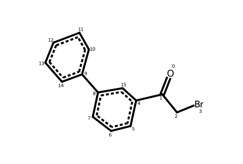 O=C(CBr)c1cccc(-c2ccccc2)c1